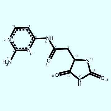 Nc1nccc(NC(=O)CC2SC(=O)NC2=O)n1